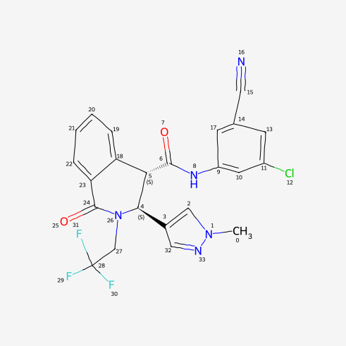 Cn1cc([C@@H]2[C@@H](C(=O)Nc3cc(Cl)cc(C#N)c3)c3ccccc3C(=O)N2CC(F)(F)F)cn1